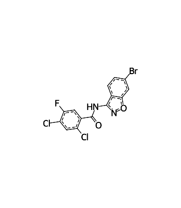 O=C(Nc1noc2cc(Br)ccc12)c1cc(F)c(Cl)cc1Cl